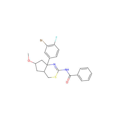 COC1CC2CSC(NC(=O)c3ccccc3)=NC2(c2ccc(F)c(Br)c2)C1